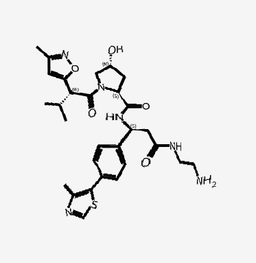 Cc1cc([C@H](C(=O)N2C[C@H](O)C[C@H]2C(=O)N[C@@H](CC(=O)NCCN)c2ccc(-c3scnc3C)cc2)C(C)C)on1